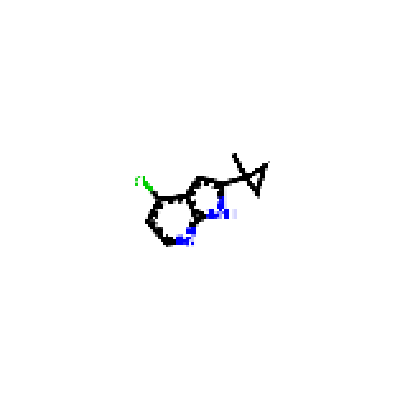 CC1(c2cc3c(Cl)ccnc3[nH]2)CC1